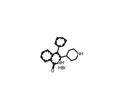 Br.O=c1[nH]c(C2CCNCC2)c(-c2ccccc2)c2ccccc12